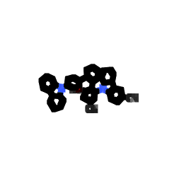 N#Cc1ccc2c(c1)C1C=CC=CC1N2c1cc(C#N)cc(C#N)c1-c1ccccc1-c1ccc(N2c3ccccc3C3C=CC=CC32)cc1